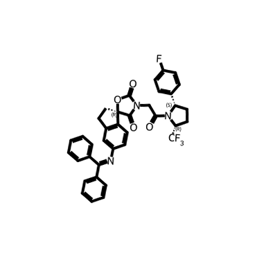 O=C1O[C@@]2(CCc3cc(N=C(c4ccccc4)c4ccccc4)ccc32)C(=O)N1CC(=O)N1[C@H](c2ccc(F)cc2)CC[C@@H]1C(F)(F)F